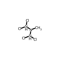 CN([SiH](Cl)Cl)[SiH](Cl)Cl